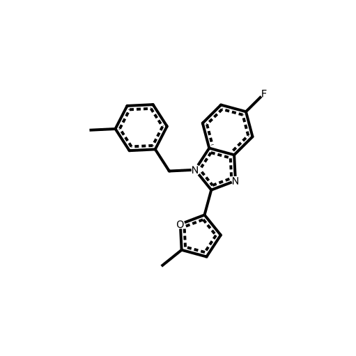 Cc1cccc(Cn2c(-c3ccc(C)o3)nc3cc(F)ccc32)c1